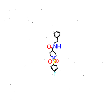 O=C(NCCc1ccccc1)C1CCN(S(=O)(=O)c2ccc(F)cc2)CC1